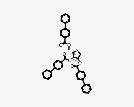 O=C(OC[C@@H]1SC[C@@H](OC(=O)c2ccc(-c3ccccc3)cc2)[C@H]1OC(=O)c1ccc(-c2ccccc2)cc1)c1ccc(-c2ccccc2)cc1